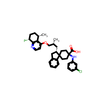 C[C@@H](COc1ccnc2c1[C@@H](C)CC[C@H]2F)C[C@H]1Cc2ccccc2C12CCC(Nc1cccc(Cl)c1)(C(=O)O)CC2